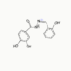 O=C(N/N=C\c1ccccc1O)c1ccc(O)c(O)c1